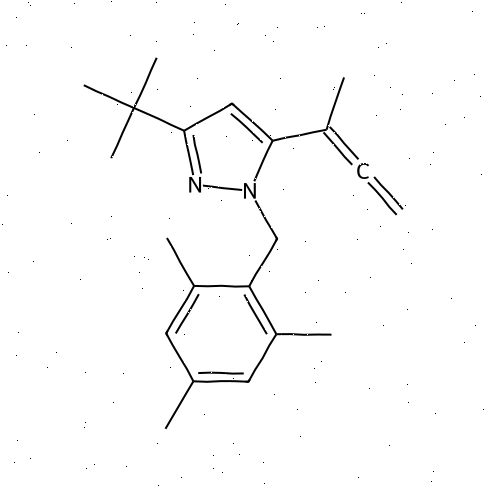 C=C=C(C)c1cc(C(C)(C)C)nn1Cc1c(C)cc(C)cc1C